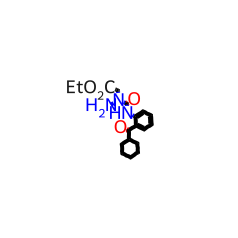 CCOC(=O)CN(N)C(=O)Nc1ccccc1C(=O)C1CCCCC1